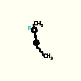 CCCCCCC12CCC(C#Cc3ccc(CC)c(F)c3)(CC1)CC2